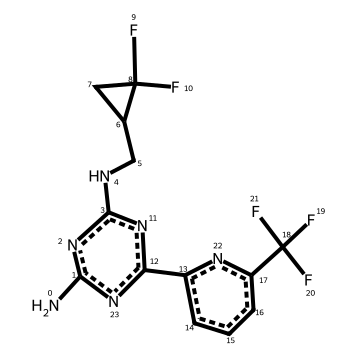 Nc1nc(NCC2CC2(F)F)nc(-c2cccc(C(F)(F)F)n2)n1